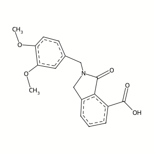 COc1ccc(CN2Cc3cccc(C(=O)O)c3C2=O)cc1OC